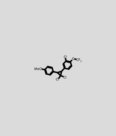 COc1ccc(C2C(c3ccc(OC(F)(F)F)c(Cl)c3)C2(Cl)Cl)cc1